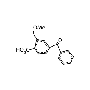 COCc1cc(C(=O)c2ccccc2)ccc1C(=O)O